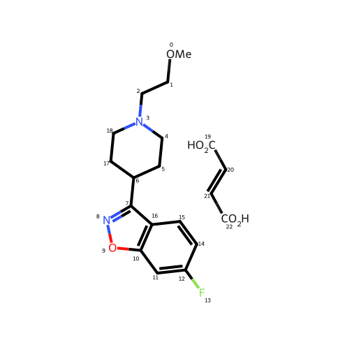 COCCN1CCC(c2noc3cc(F)ccc23)CC1.O=C(O)/C=C/C(=O)O